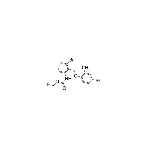 CCc1ccc(OCc2c(Br)cccc2NC(=O)OCF)c(C)c1